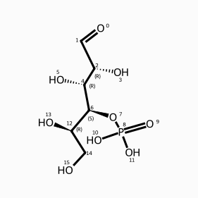 O=C[C@H](O)[C@@H](O)[C@@H](OP(=O)(O)O)[C@H](O)CO